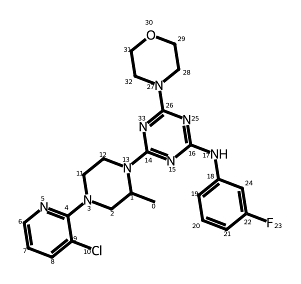 CC1CN(c2ncccc2Cl)CCN1c1nc(Nc2cccc(F)c2)nc(N2CCOCC2)n1